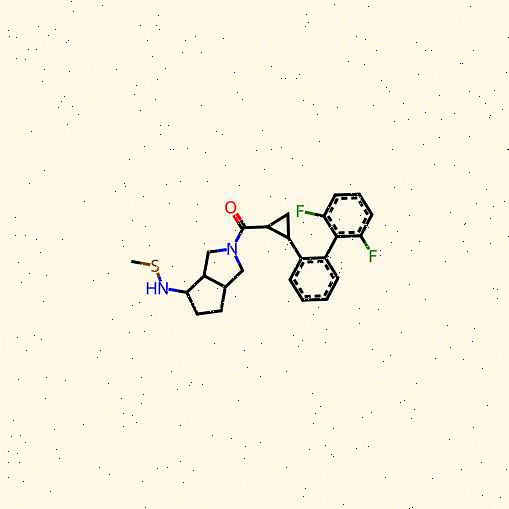 CSNC1CCC2CN(C(=O)C3CC3c3ccccc3-c3c(F)cccc3F)CC21